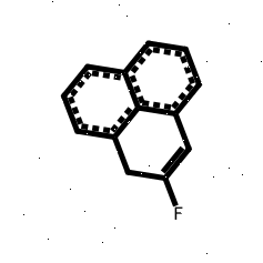 FC1=Cc2cccc3cccc(c23)C1